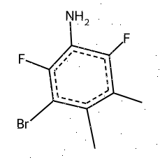 Cc1c(C)c(Br)c(F)c(N)c1F